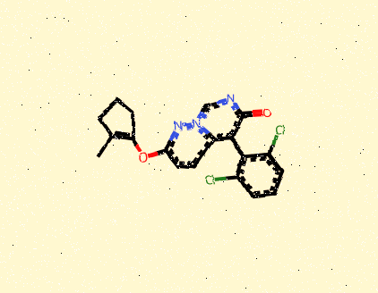 CC1=C(Oc2ccc3c(-c4c(Cl)cccc4Cl)c(=O)ncn3n2)CCC1